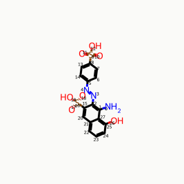 Nc1c(N=Nc2ccc(S(=O)(=O)O)cc2)c(S(=O)(=O)O)cc2cccc(O)c12